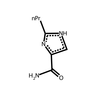 CCCc1nc(C(N)=O)c[nH]1